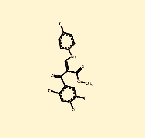 COC(=O)C(=CNc1ccc(F)cc1)C(=O)c1cc(F)c(Cl)cc1Cl